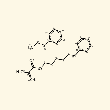 C=C(C)C(=O)OCCCCCSc1ccccc1.CCSc1ccccc1